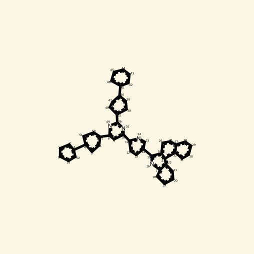 c1ccc(-c2ccc(-c3cc(-c4ccc(-c5nc6ccccc6c6c5ccc5ccccc56)cn4)nc(-c4ccc(-c5ccccc5)cc4)n3)cc2)cc1